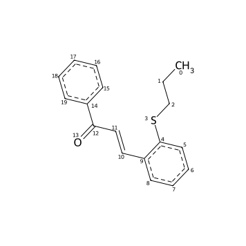 CCCSc1ccccc1C=CC(=O)c1ccccc1